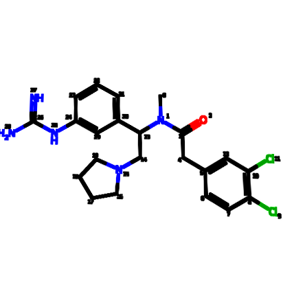 CN(C(=O)Cc1ccc(Cl)c(Cl)c1)C(CN1CCCC1)c1cccc(NC(=N)N)c1